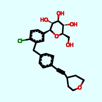 OC[C@H]1O[C@@H](c2ccc(Cl)c(Cc3ccc(C#CC4CCOCC4)cc3)c2)[C@H](O)[C@@H](O)[C@@H]1O